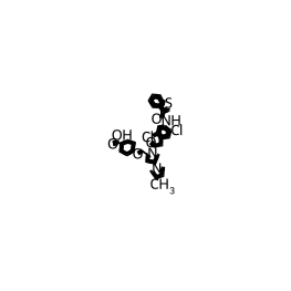 C[C@@H]1CCN([C@H]2C[C@@H](CO[C@H]3CC[C@H](C(=O)O)CC3)N(C(=O)Cc3cc(Cl)c(NC(=O)c4csc5ccccc45)cc3Cl)C2)C1